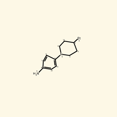 [CH2]CC1CCN(c2ccc(N)cc2)CC1